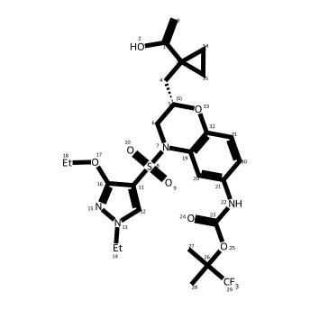 C=C(O)C1(C[C@H]2CN(S(=O)(=O)c3cn(CC)nc3OCC)c3cc(NC(=O)OC(C)(C)C(F)(F)F)ccc3O2)CC1